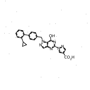 O=C(O)c1cnn(-c2nc(O)c3c(cnn3Cc3ccc(-c4ccccc4C4CC4)cc3)n2)c1